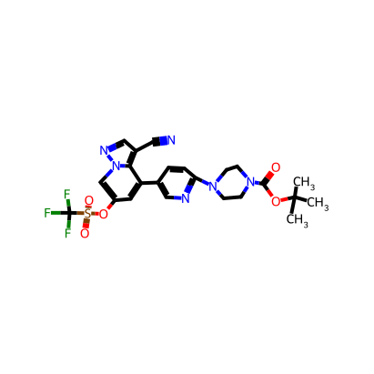 CC(C)(C)OC(=O)N1CCN(c2ccc(-c3cc(OS(=O)(=O)C(F)(F)F)cn4ncc(C#N)c34)cn2)CC1